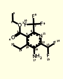 CCOC(=O)c1c(C(F)(F)F)nc(C(F)F)c(N)c1CC